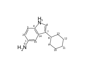 Nc1ccc2[nH]cc(C3CC[CH]CC3)c2c1